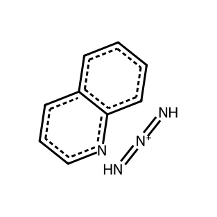 N=[N+]=N.c1ccc2ncccc2c1